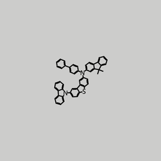 CC1(C)c2ccccc2-c2ccc(N(c3ccc(-c4ccccc4)cc3)c3ccc4sc5ccc(-n6c7ccccc7c7ccccc76)cc5c4c3)cc21